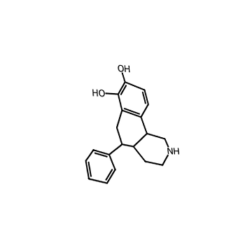 Oc1ccc2c(c1O)CC(c1ccccc1)C1CCNCC21